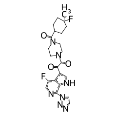 CC1(F)CCC(C(=O)N2CCN(C(=O)C(=O)c3c[nH]c4c(-n5ccnn5)ncc(F)c34)CC2)CC1